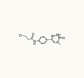 Cc1cc(-c2ccc(NC(=O)CCCl)cc2)n[nH]c1=O